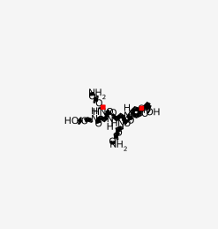 CC(C)(C)P(=O)(O)O[C@H]1CC[C@H](C(=O)NC(CCC(=O)NC(CCC(=O)NCCOCCO)C(=O)NCCOCCON)C(=O)NCCOCCON)CC1